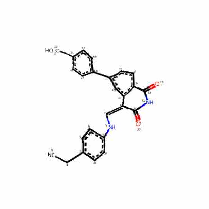 N#CCc1ccc(NC=C2C(=O)NC(=O)c3ccc(-c4ccc(C(=O)O)cc4)cc32)cc1